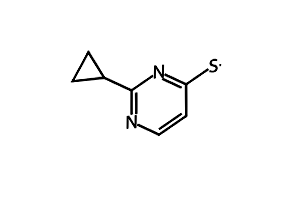 [S]c1ccnc(C2CC2)n1